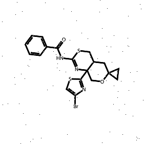 O=C(NC1=NC2(c3nc(Br)cs3)COC3(CC3)CC2CS1)c1ccccc1